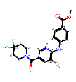 COC(=O)c1ccc(Nc2ncc(C(=O)N3CCC(F)(F)CC3)cc2Br)cc1